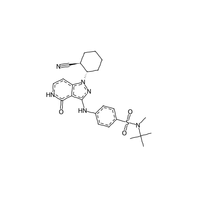 CN(C(C)(C)C)S(=O)(=O)c1ccc(Nc2nn([C@H]3CCCC[C@@H]3C#N)c3cc[nH]c(=O)c23)cc1